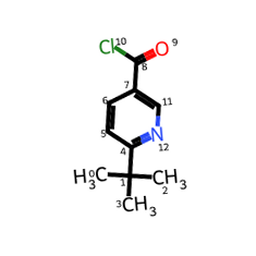 CC(C)(C)c1ccc(C(=O)Cl)cn1